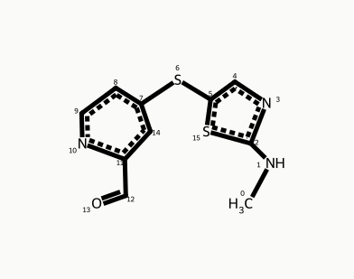 CNc1ncc(Sc2ccnc(C=O)c2)s1